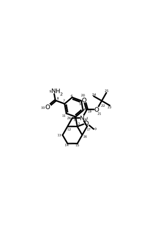 COC1(c2cccc(C(N)=O)c2)C2CCCC1CN(C(=O)OC(C)(C)C)C2